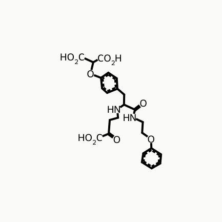 O=C(O)C(=O)CCNC(Cc1ccc(OC(C(=O)O)C(=O)O)cc1)C(=O)NCCOc1ccccc1